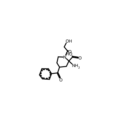 NC1(C(=O)O)CC(C(=O)c2ccccc2)CCN1C(=O)CO